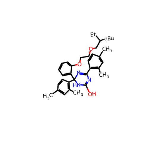 CCCCC(CC)COCCOc1ccccc1C1(c2ccc(C)cc2C)N=C(c2ccc(C)cc2C)N=C(O)N1